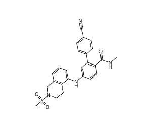 CNC(=O)c1ccc(Nc2cccc3c2CCN(S(C)(=O)=O)C3)cc1-c1ccc(C#N)cc1